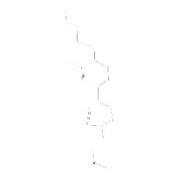 [CH2]C(=O)COc1ccc(-c2cc(Cl)c(OCCCCl)c(Cl)c2)cc1